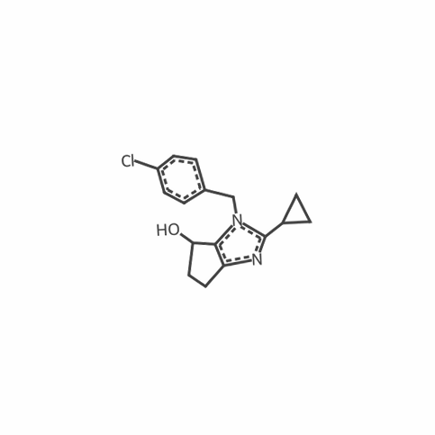 OC1CCc2nc(C3CC3)n(Cc3ccc(Cl)cc3)c21